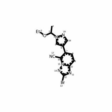 CCOC(C)n1cc(-c2ccc3nc(Br)nn3c2C#N)cn1